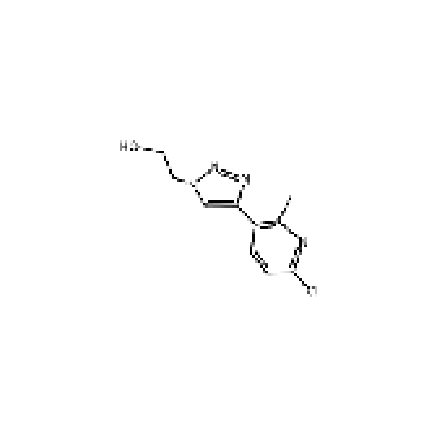 Cc1nc(Cl)ccc1-c1cn(CCO)nn1